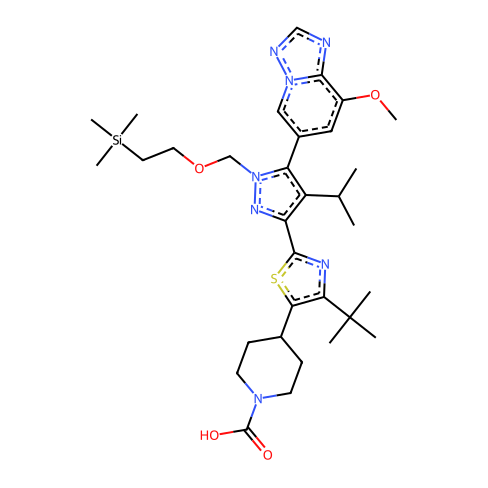 COc1cc(-c2c(C(C)C)c(-c3nc(C(C)(C)C)c(C4CCN(C(=O)O)CC4)s3)nn2COCC[Si](C)(C)C)cn2ncnc12